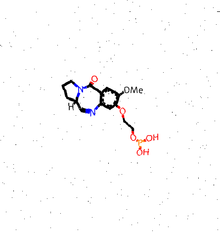 COc1cc2c(cc1OCCOP(O)O)N=C[C@@H]1CCCN1C2=O